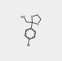 OCC1(c2ccc(Br)cc2)OCCO1